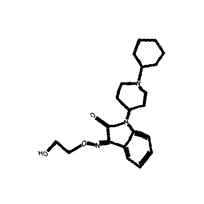 O=C1/C(=N\OCCO)c2ccccc2N1C1CCN(C2CCCCC2)CC1